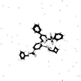 CN(CC(CCN1CC[C@H](C(=O)OCc2ccccc2)C[C@@H]1NCC1CCC1)c1ccccc1)S(=O)(=O)c1ccccc1